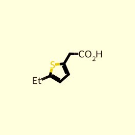 CCc1ccc(CC(=O)O)s1